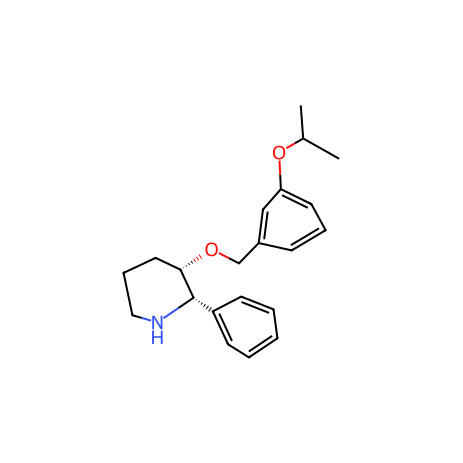 CC(C)Oc1cccc(CO[C@H]2CCCN[C@H]2c2ccccc2)c1